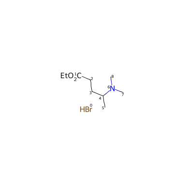 Br.CCOC(=O)CCC(C)N(C)C